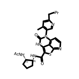 CC(=O)N[C@H]1CCC[C@H]1NC(=O)c1sc2nccc3c2c1NC(=O)N3c1cnc(CC(C)C)cc1C